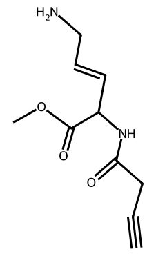 C#CCC(=O)NC(C=CCN)C(=O)OC